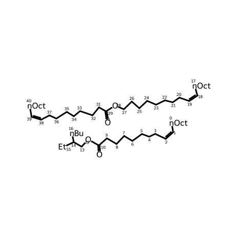 CCCCCCCC/C=C\CCCCCCCC(=O)OCC(CC)CCCC.CCCCCCCC/C=C\CCCCCCCCOC(=O)CCCCCCC/C=C\CCCCCCCC